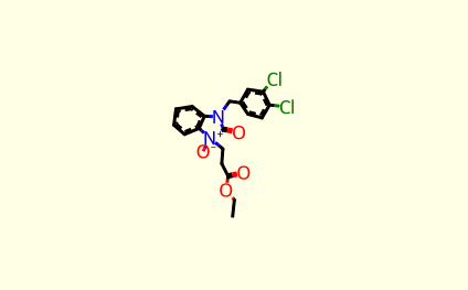 CCOC(=O)CC[N+]1([O-])C(=O)N(Cc2ccc(Cl)c(Cl)c2)c2ccccc21